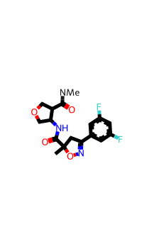 CNC(=O)C1COCC1NC(=O)C1(C)CC(c2cc(F)cc(F)c2)=NO1